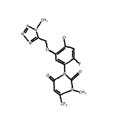 Cn1nnnc1COc1cc(-n2c(=O)cc(C(F)(F)F)n(C)c2=O)c(F)cc1Cl